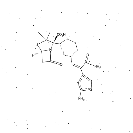 CC1(C)S[C@@H]2CC(=O)N2[C@@]1(C(=O)O)[C@H]1CC(/C=C(\C(N)=O)c2csc(N)n2)CCO1